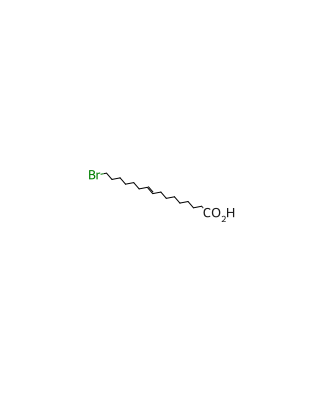 O=C(O)CCCCCCC/C=C/CCCCCCBr